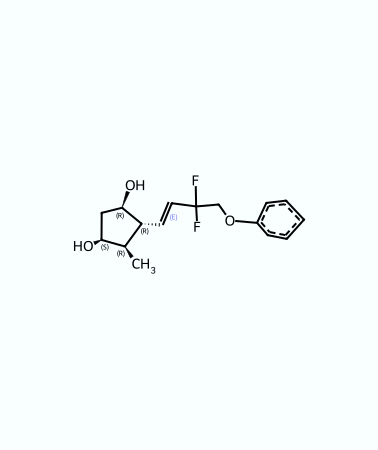 C[C@@H]1[C@@H](/C=C/C(F)(F)COc2ccccc2)[C@H](O)C[C@@H]1O